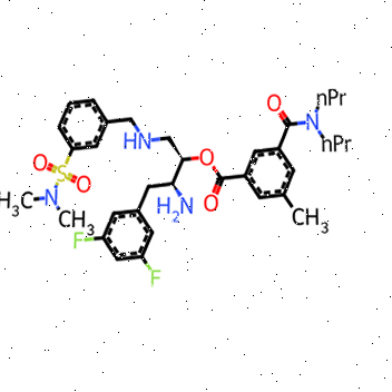 CCCN(CCC)C(=O)c1cc(C)cc(C(=O)O[C@H](CNCc2cccc(S(=O)(=O)N(C)C)c2)[C@@H](N)Cc2cc(F)cc(F)c2)c1